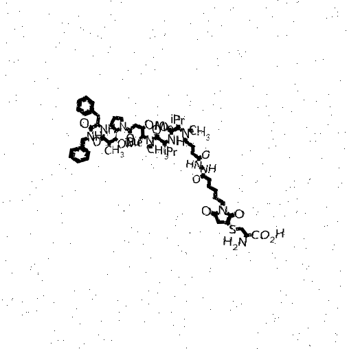 CCC(C)C(C(CC(=O)N1CCC[C@H]1C(OC)C(C)C(=O)NC(Cc1ccccc1)C(=O)NCc1ccccc1)OC)N(C)C(=O)C(NC(=O)C(C(C)C)N(C)CCCC(=O)NNC(=O)CCCCCN1C(=O)CC(SCC(N)C(=O)O)C1=O)C(C)C